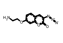 [N-]=[N+]=Nc1cc2ccc(OCCN)cc2oc1=O